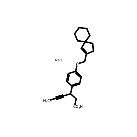 CC#CC(CC(=O)O)c1ccc(OCC2=CC3(CCCCC3)CC2)cc1.[NaH]